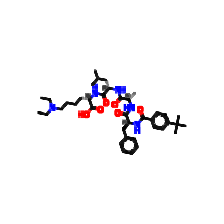 CCN(CC)CCCC[C@H](NC(=O)[C@H](CC(C)C)NC(=O)[C@H](C)NC(=O)[C@H](Cc1ccccc1)NC(=O)c1ccc(C(C)(C)C)cc1)C(=O)O